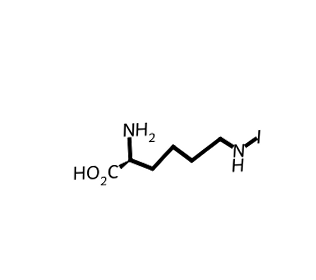 N[C@@H](CCCCNI)C(=O)O